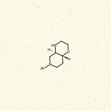 CC(C)N1CC[C@H]2OCCN[C@@H]2C1